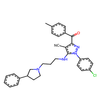 Cc1ccc(C(=O)c2nn(-c3ccc(Cl)cc3)c(NCCCN3CCC(c4ccccc4)C3)c2C#N)cc1